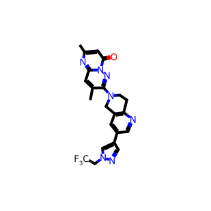 Cc1cc(=O)n2nc(N3CCc4ncc(-c5cnn(CC(F)(F)F)c5)cc4C3)c(C)cc2n1